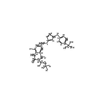 Cc1nc(NCc2cnn(Cc3ccc(C(F)(F)F)nc3)c2)nc2c1NC(=O)[C@H](C(C)OC(C)(C)C)N2C